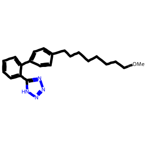 COCCCCCCCCc1ccc(-c2ccccc2-c2nnn[nH]2)cc1